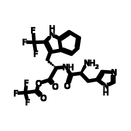 N[C@@H](Cc1cnc[nH]1)C(=O)N[C@@H](Cc1c(C(F)(F)F)[nH]c2ccccc12)C(=O)OC(=O)C(F)(F)F